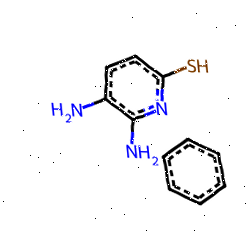 Nc1ccc(S)nc1N.c1ccccc1